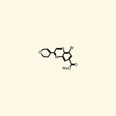 COC(=O)c1cc(Br)c2ncc(C3=CCOCC3)nc2c1